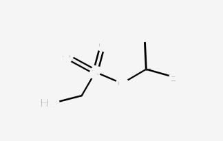 CCC(C)OS(=O)(=O)CO